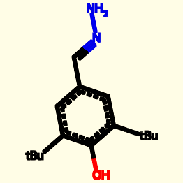 CC(C)(C)c1cc(C=NN)cc(C(C)(C)C)c1O